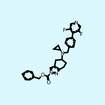 O=C(OCc1ccccc1)n1cc2c(n1)CCC(N(Cc1ccc(-c3c(F)cncc3F)cc1)C1CC1)C2